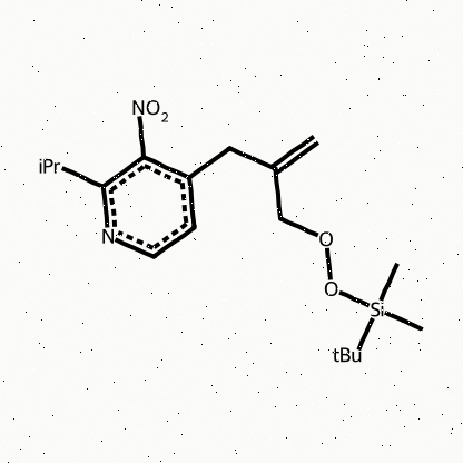 C=C(COO[Si](C)(C)C(C)(C)C)Cc1ccnc(C(C)C)c1[N+](=O)[O-]